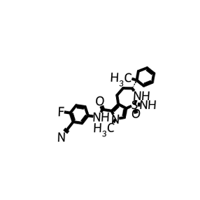 Cn1cc2c(c1C(=O)Nc1ccc(F)c(C#N)c1)CC[C@H](C1(C)C=CC=CC1)NS2(=N)=O